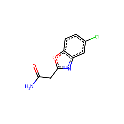 NC(=O)Cc1nc2cc(Cl)ccc2o1